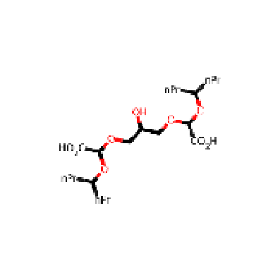 CCCC(CCC)OC(OCC(O)COC(OC(CCC)CCC)C(=O)O)C(=O)O